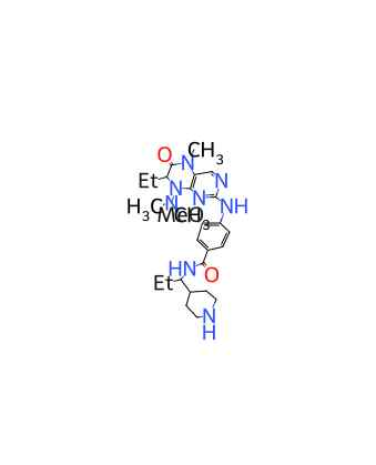 CCC(NC(=O)c1ccc(Nc2ncc3c(n2)N(N(C)C)C(CC)C(=O)N3C)c(OC)c1)C1CCNCC1